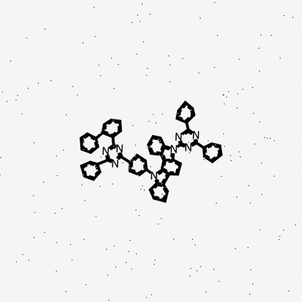 c1ccc(-c2nc(-c3ccc(-n4c5ccccc5c5ccc6c(c7ccccc7n6-c6nc(-c7ccccc7)nc(-c7ccccc7)n6)c54)cc3)nc(-c3ccccc3-c3ccccc3)n2)cc1